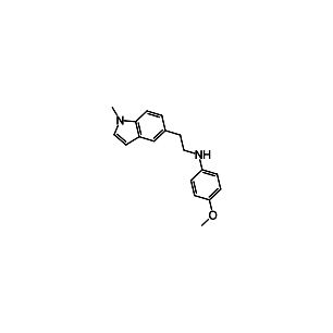 COc1ccc(NCCc2ccc3c(ccn3C)c2)cc1